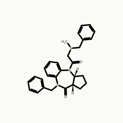 CN(CC(=O)N1c2ccccc2N(Cc2ccccc2)C(=O)[C@H]2CCC[C@H]21)Cc1ccccc1